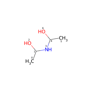 CC(O)NC(C)O